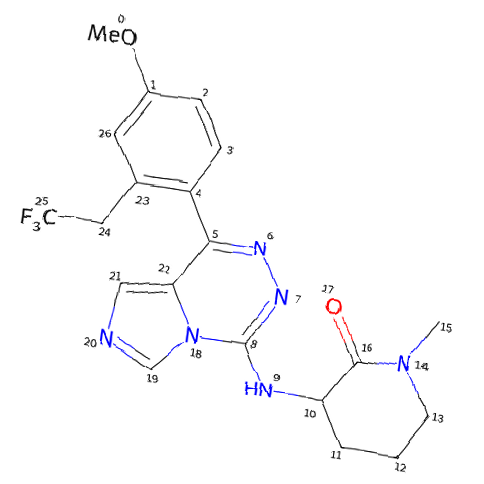 COc1ccc(-c2nnc(NC3CCCN(C)C3=O)n3cncc23)c(CC(F)(F)F)c1